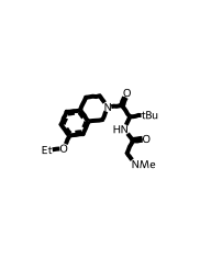 CCOc1ccc2c(c1)CN(C(=O)C(NC(=O)CNC)C(C)(C)C)CC2